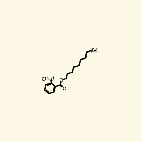 CCC(C)CCCCCCCCOC(=O)c1ccccc1C(=O)O